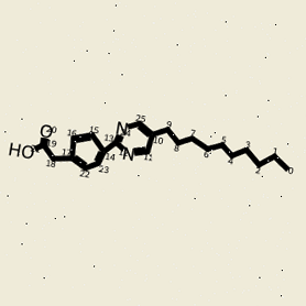 CCCCCCCCCCc1cnc(-c2ccc(CC(=O)O)cc2)nc1